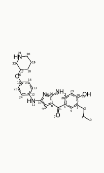 CCCc1cc(C(=O)c2sc(Nc3ccc(OC4CCCNC4)cc3)nc2N)ccc1O